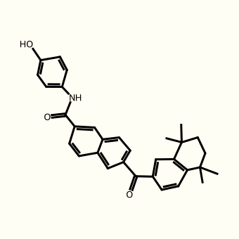 CC1(C)CCC(C)(C)c2cc(C(=O)c3ccc4cc(C(=O)Nc5ccc(O)cc5)ccc4c3)ccc21